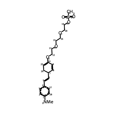 CNc1ccc(/C=C/C2C=CC(OCCOCCOCCOS(C)(=O)=O)=CC2)cc1